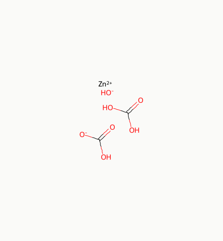 O=C(O)O.O=C([O-])O.[OH-].[Zn+2]